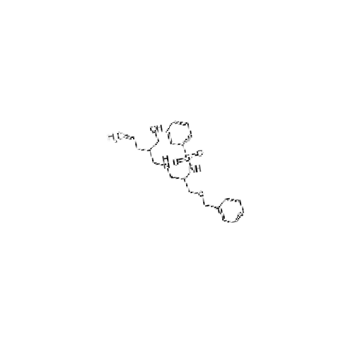 C=CCC(CO)CNC[C@H](COCc1ccccc1)NS(=O)(=O)c1ccccc1